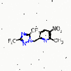 Cc1nc(Cn2nc(C(F)(F)F)nc2C(F)(F)F)ccc1[N+](=O)[O-]